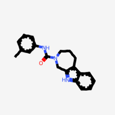 Cc1cccc(NC(=O)N2CCCc3c([nH]c4ccccc34)C2)c1